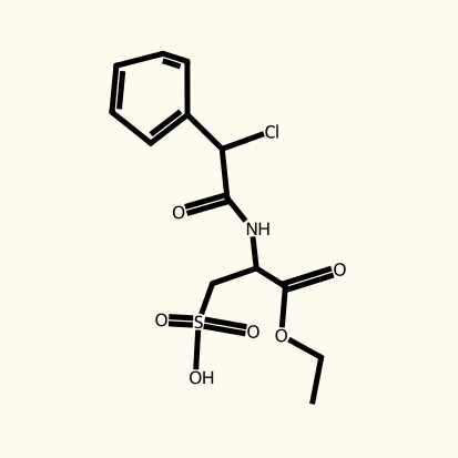 CCOC(=O)C(CS(=O)(=O)O)NC(=O)C(Cl)c1ccccc1